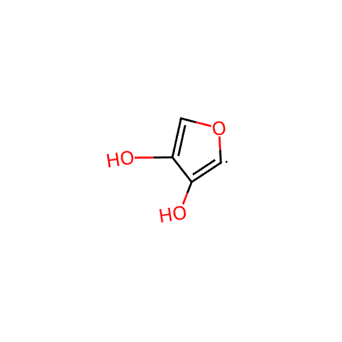 Oc1[c]occ1O